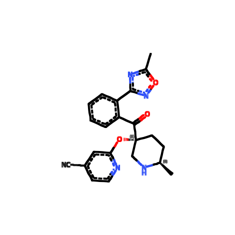 Cc1nc(-c2ccccc2C(=O)[C@@]2(Oc3cc(C#N)ccn3)CC[C@@H](C)NC2)no1